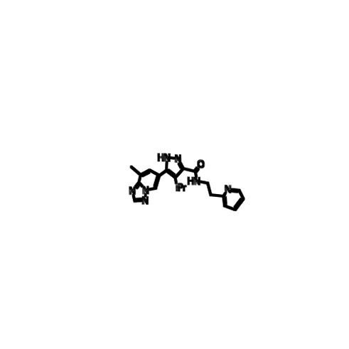 Cc1cc(-c2[nH]nc(C(=O)NCCc3ccccn3)c2C(C)C)cn2ncnc12